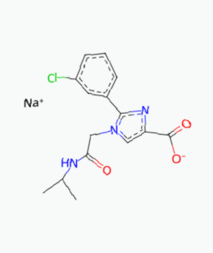 CC(C)NC(=O)Cn1cc(C(=O)[O-])nc1-c1cccc(Cl)c1.[Na+]